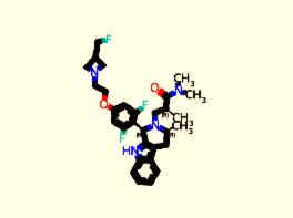 C[C@H](CN1[C@H](c2c(F)cc(OCCN3CC(CF)C3)cc2F)c2[nH]c3ccccc3c2C[C@H]1C)C(=O)N(C)C